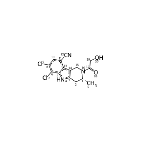 C[C@@H]1Cc2[nH]c3c(Cl)c(Cl)cc(C#N)c3c2CN1C(=O)CO